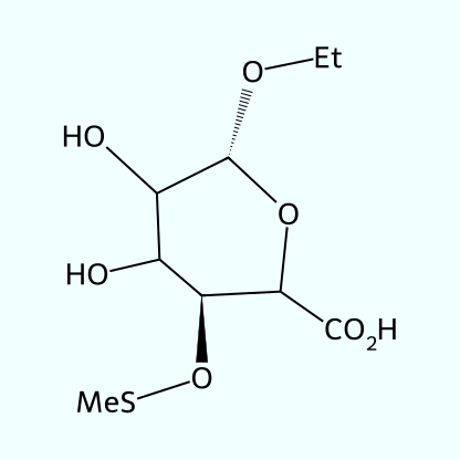 CCO[C@@H]1OC(C(=O)O)[C@@H](OSC)C(O)C1O